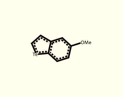 COc1ccc2[te]ccc2c1